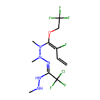 C=C/C(F)=C(/OCC(F)(F)F)N(C)N(C)/N=C(\NNC)C(F)(F)Cl